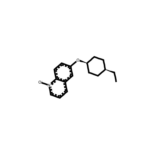 CC[C@H]1CC[C@@H](Oc2ccc3c(ccc[n+]3[O-])c2)CC1